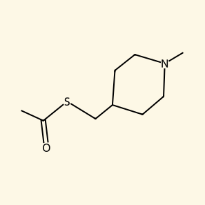 CC(=O)SCC1CCN(C)CC1